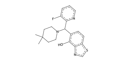 CC1(C)CCN(C(c2ccc3scnc3c2O)c2ncccc2F)CC1